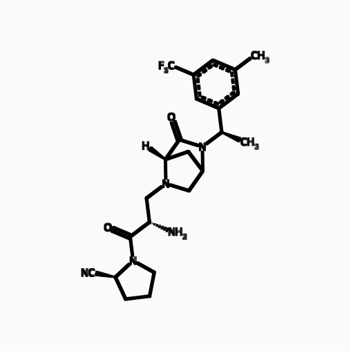 Cc1cc([C@@H](C)N2C(=O)[C@@H]3CC2CN3C[C@H](N)C(=O)N2CCC[C@H]2C#N)cc(C(F)(F)F)c1